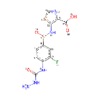 NNC(=O)Nc1ccc([S+]([O-])Nc2scnc2C(=O)O)cc1F